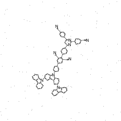 N#Cc1ccc(-c2cc(-c3ccc(-c4c(C#N)cc(-c5ccc(-n6c7ccc(-n8c9ccccc9c9ccccc98)cc7c7cc(-n8c9ccccc9c9ccccc98)ccc76)cc5)cc4C#N)cc3)nc(-c3ccc(C#N)cc3)n2)cc1